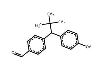 CC(C)(C)C(c1ccc(O)cc1)c1ccc(C=O)cc1